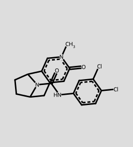 Cn1cc2c(cc1=O)CC1CCC2N1C(=O)Nc1ccc(Cl)c(Cl)c1